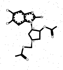 CC(=O)OC[C@@H]1CC(OC(C)=O)[C@H](n2c(Br)nc3cc(Cl)c(Cl)cc32)C1